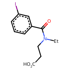 CCN(CCC(=O)O)C(=O)c1cccc(I)c1